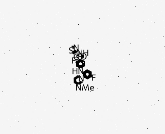 CNC1CCCN(c2cc(F)ccc2Nc2ccc(S(=O)(=O)Nc3cscn3)c(F)c2)C1